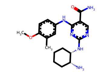 COc1ccc(Nc2nc(N[C@H]3CCCC[C@H]3N)ncc2C(N)=O)cc1C